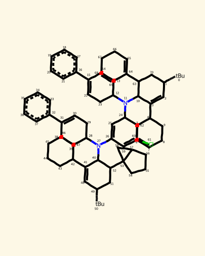 CC(C)(C)C1C=C(C2CC=CCC2)C(N(C2C=CC(c3ccccc3)=CC2)C2C=C(N(C3CC=C(c4ccccc4)CC3)C3C(C4CCCCC4)=CC(C(C)(C)C)CC3C34CCCC3C4)C=C(Cl)C2)C(C2=CCCCC2)C1